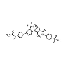 CC(=O)Nc1ccc(-c2ccc(-n3c(C)cc(C(=O)Nc4ccc(S(C)(=O)=O)cc4)c3C)c(C(F)(F)F)c2)cc1